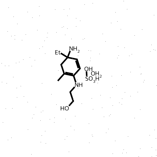 CCC1(N)C=CC(NCCO)=C(C)C1.O.O=S(=O)(O)O